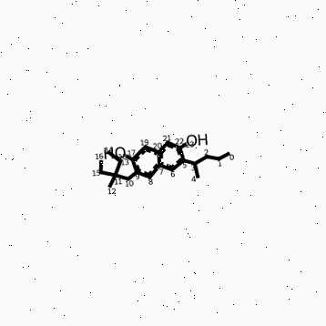 CCCC(C)c1cc2cc(CC(C)(CC)CC)c(O)cc2cc1O